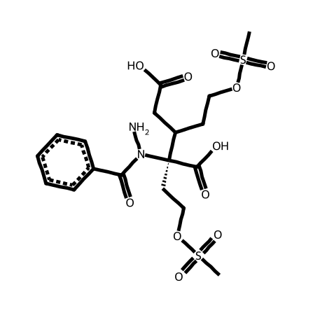 CS(=O)(=O)OCCC(CC(=O)O)[C@@](CCOS(C)(=O)=O)(C(=O)O)N(N)C(=O)c1ccccc1